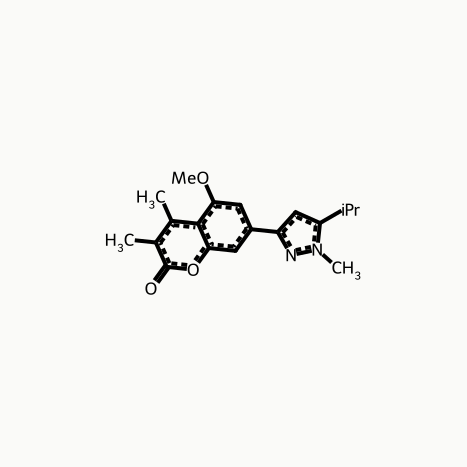 COc1cc(-c2cc(C(C)C)n(C)n2)cc2oc(=O)c(C)c(C)c12